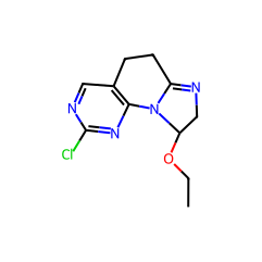 CCOC1CN=C2CCc3cnc(Cl)nc3N21